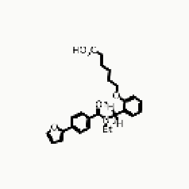 [2H]C([2H])(c1ccccc1OCCCCCC(=O)O)N(CC)C(=O)c1ccc(-c2ccco2)cc1